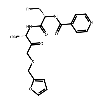 CCCC[C@H](NC(=O)[C@H](CC(C)C)NC(=O)c1ccncc1)C(=O)CSCc1ccco1